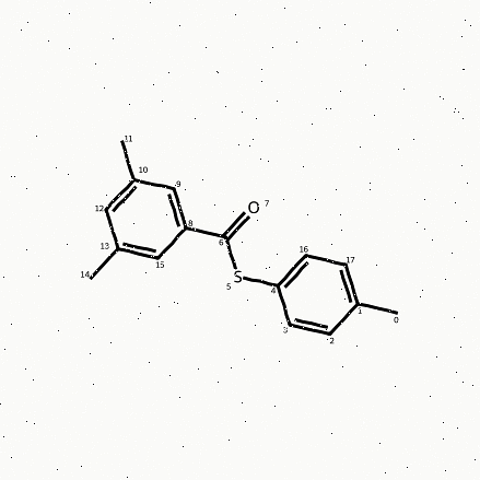 Cc1ccc(SC(=O)c2cc(C)cc(C)c2)cc1